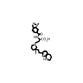 Cn1ncc2ccc(C(=O)N[C@@H](CCN3CCC[C@@](F)(CCc4ccc5c(n4)NCCC5)C3)C(=O)O)cc21